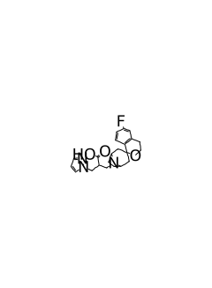 O=C(O)C(CN1C2CCC1CC1(C2)OCCc2cc(F)ccc21)Cn1cccn1